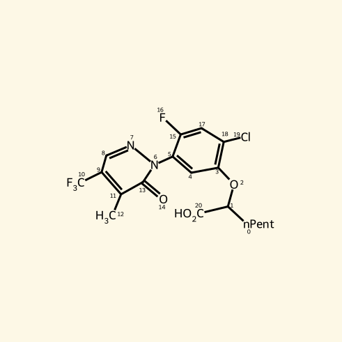 CCCCCC(Oc1cc(-n2ncc(C(F)(F)F)c(C)c2=O)c(F)cc1Cl)C(=O)O